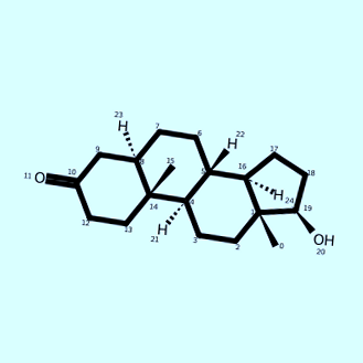 C[C@@]12CC[C@@H]3[C@H](CC[C@@H]4CC(=O)CC[C@]43C)[C@H]1CC[C@H]2O